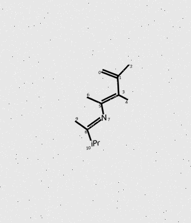 C=C(C)/C(C)=C(C)/N=C(\C)C(C)C